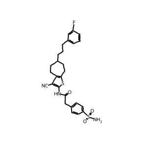 N#Cc1c(NC(=O)Cc2ccc(S(N)(=O)=O)cc2)sc2c1CCC(CCCc1cccc(F)c1)CC2